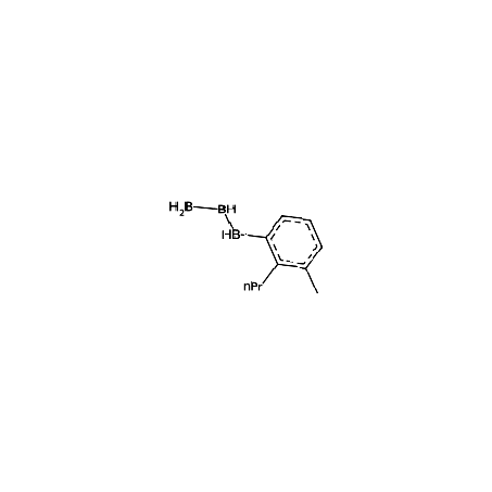 BBBc1cccc(C)c1CCC